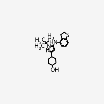 CC(C)(C)n1nc(C2CCC(O)CC2)cc1Nc1cccc2c1CCS2